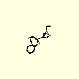 CCn1cc(-c2cnc3ccccc3n2)cn1